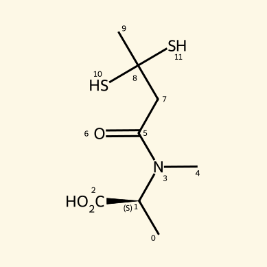 C[C@@H](C(=O)O)N(C)C(=O)CC(C)(S)S